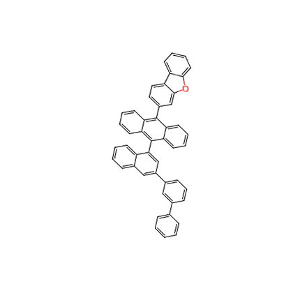 c1ccc(-c2cccc(-c3cc(-c4c5ccccc5c(-c5ccc6c(c5)oc5ccccc56)c5ccccc45)c4ccccc4c3)c2)cc1